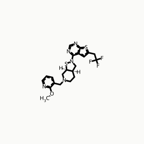 COc1ncccc1CN1CC[C@@H]2CN(c3ncnc4sc(CC(F)(F)F)cc34)S[C@@H]2C1